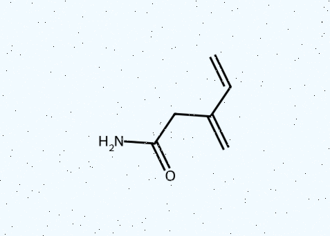 C=CC(=C)CC(N)=O